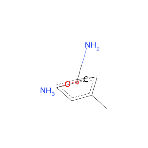 Cc1cc2cc(N)c1CO2.N